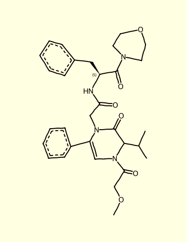 COCC(=O)N1C=C(c2ccccc2)N(CC(=O)N[C@@H](Cc2ccccc2)C(=O)N2CCOCC2)C(=O)C1C(C)C